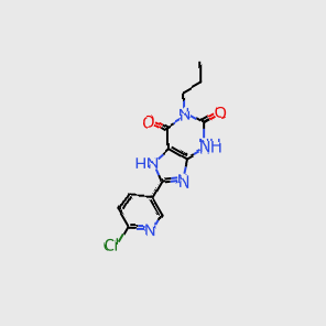 CCCn1c(=O)[nH]c2nc(-c3ccc(Cl)nc3)[nH]c2c1=O